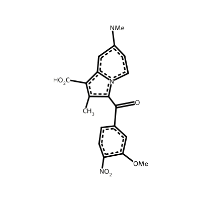 CNc1ccn2c(C(=O)c3ccc([N+](=O)[O-])c(OC)c3)c(C)c(C(=O)O)c2c1